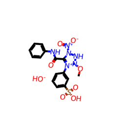 CON1NN([N+](=O)[O-])C(C(=O)Nc2ccccc2)=[N+]1c1cccc(S(=O)(=O)O)c1.[OH-]